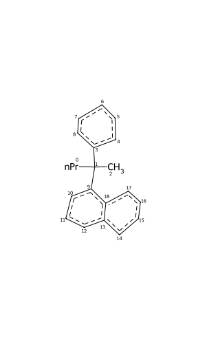 [CH2]CCC(C)(c1ccccc1)c1cccc2ccccc12